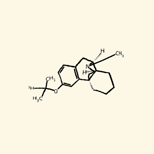 [2H]C(C)(C)Oc1ccc2c(c1)[C@]13CCCC[C@@H]1[C@H](C2)N(C)CC3